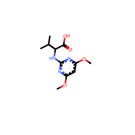 COc1cc(OC)nc(NC(C(=O)O)C(C)C)n1